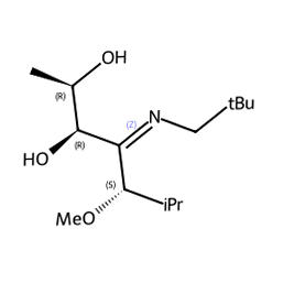 CO[C@H](/C(=N\CC(C)(C)C)[C@@H](O)[C@@H](C)O)C(C)C